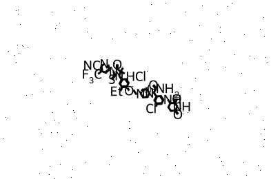 CCc1cc(N2C(=S)N(c3cnc(C#N)c(C(F)(F)F)c3)C(=O)C2(C)C)ccc1OCCN1CCN(C(C(N)=O)c2cc(Cl)cc(NC3CCC(=O)NC3=O)c2)[C@H](C)C1.Cl